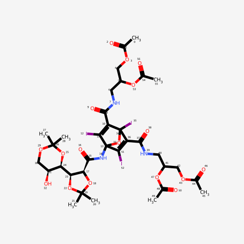 CC(=O)OCC(CNC(=O)C1=C(I)C2(NC(=O)[C@H]3OC(C)(C)O[C@H]3[C@@H]3OC(C)(C)OC[C@@H]3O)OC1(I)C(C(=O)NCC(COC(C)=O)OC(C)=O)=C2I)OC(C)=O